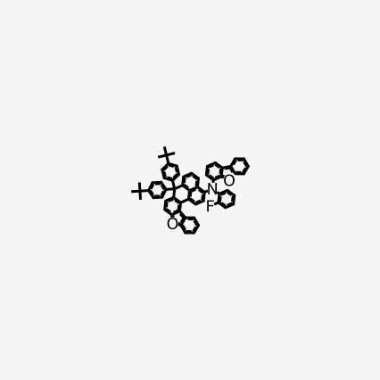 CC(C)(C)c1ccc(C2(c3ccc(C(C)(C)C)cc3)c3ccc4oc5ccccc5c4c3-c3ccc(N(c4ccccc4F)c4cccc5c4oc4ccccc45)c4cccc2c34)cc1